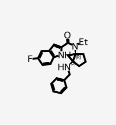 CCN(C(=O)c1cc2cc(F)ccc2[nH]1)[C@@]12CCC[C@]1(NCc1ccccc1)C2